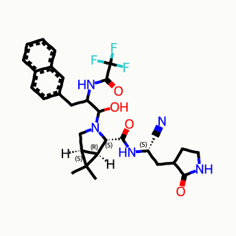 CC1(C)[C@@H]2[C@@H](C(=O)N[C@H](C#N)CC3CCNC3=O)N(C(O)C(Cc3ccc4ccccc4c3)NC(=O)C(F)(F)F)C[C@@H]21